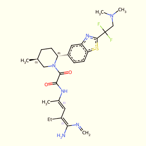 C=N/C(N)=C(\C=C(/C)NC(=O)C(=O)N1C[C@@H](C)CC[C@@H]1c1ccc2sc(C(F)(F)CN(C)C)nc2c1)CC